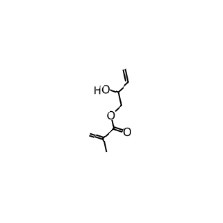 C=CC(O)COC(=O)C(=C)C